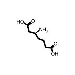 N[C@@H](CCCC(=O)O)CC(=O)O